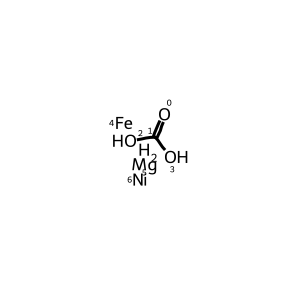 O=C(O)O.[Fe].[MgH2].[Ni]